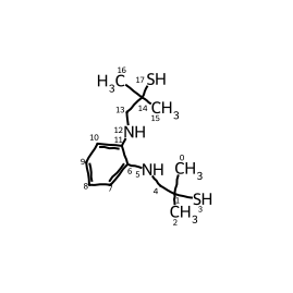 CC(C)(S)CNc1ccccc1NCC(C)(C)S